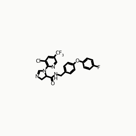 O=C(NCc1ccc(Oc2ccc(F)cc2)cc1)C1CN=CN1c1ncc(C(F)(F)F)cc1Cl